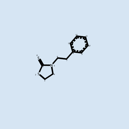 S=C1SCCN1CCc1ccccc1